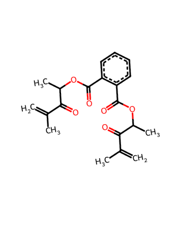 C=C(C)C(=O)C(C)OC(=O)c1ccccc1C(=O)OC(C)C(=O)C(=C)C